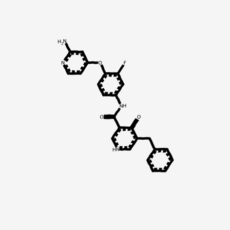 Nc1cc(Oc2ccc(NC(=O)c3c[nH]cc(Cc4ccccc4)c3=O)cc2F)ccn1